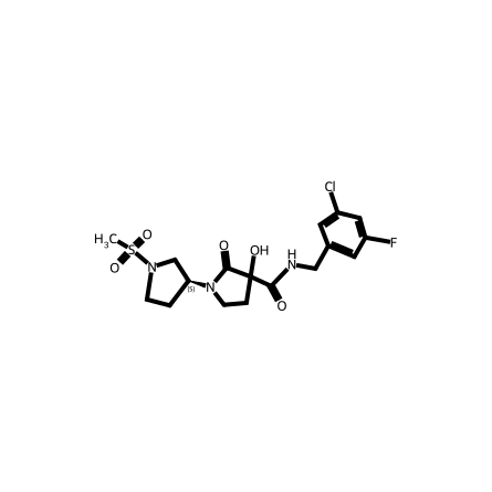 CS(=O)(=O)N1CC[C@H](N2CCC(O)(C(=O)NCc3cc(F)cc(Cl)c3)C2=O)C1